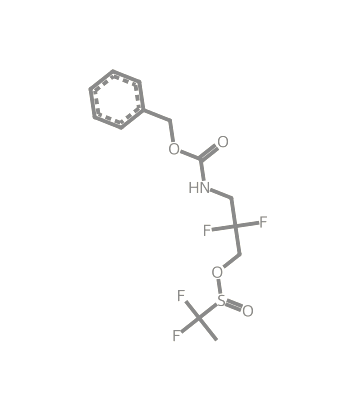 CC(F)(F)S(=O)OCC(F)(F)CNC(=O)OCc1ccccc1